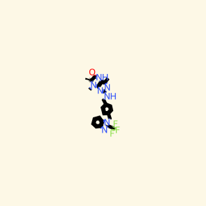 Cc1nc(NCc2ccc(Cn3c(C(F)(F)F)nc4ccccc43)cc2)nc2c1NC(=O)[C@H](C)N2C